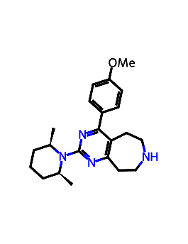 COc1ccc(-c2nc(N3[C@H](C)CCC[C@@H]3C)nc3c2CCNCC3)cc1